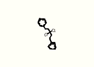 ClC(Cl)(CCc1ccccc1)CCc1ccccc1